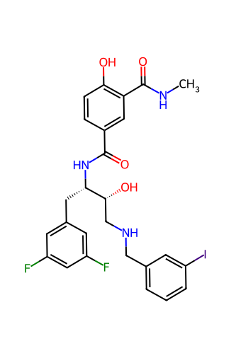 CNC(=O)c1cc(C(=O)N[C@@H](Cc2cc(F)cc(F)c2)[C@H](O)CNCc2cccc(I)c2)ccc1O